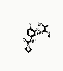 C=N/C(=N/Nc1cc(NC(=O)N2CCC2)ccc1F)C(C)Br